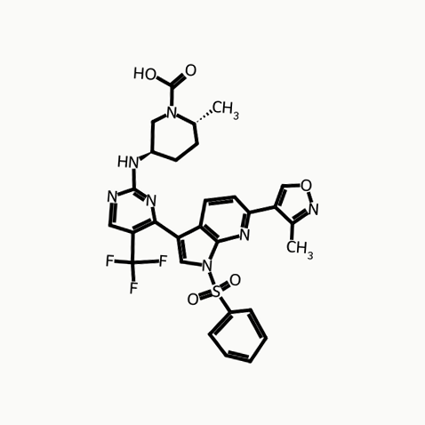 Cc1nocc1-c1ccc2c(-c3nc(N[C@@H]4CC[C@@H](C)N(C(=O)O)C4)ncc3C(F)(F)F)cn(S(=O)(=O)c3ccccc3)c2n1